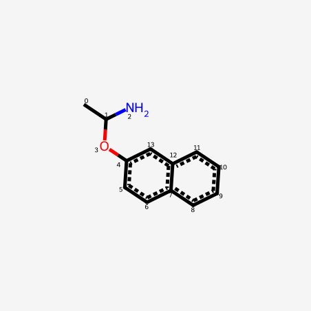 CC(N)Oc1ccc2ccccc2c1